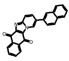 O=C1c2ccccc2C(=O)c2c1nc1ccc(-c3ccc4ccccc4c3)cn21